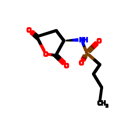 CCCCS(=O)(=O)N[C@H]1CC(=O)OC1=O